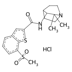 CC1(C)C(NC(=O)c2cc3cccc(S(C)(=O)=O)c3s2)C2CCN1CC2.Cl